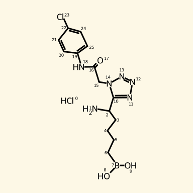 Cl.NC(CCCCB(O)O)c1nnnn1CC(=O)Nc1ccc(Cl)cc1